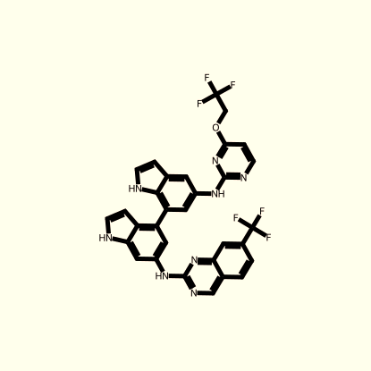 FC(F)(F)COc1ccnc(Nc2cc(-c3cc(Nc4ncc5ccc(C(F)(F)F)cc5n4)cc4[nH]ccc34)c3[nH]ccc3c2)n1